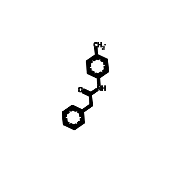 [CH2]c1ccc(NC(=O)Cc2ccccc2)cc1